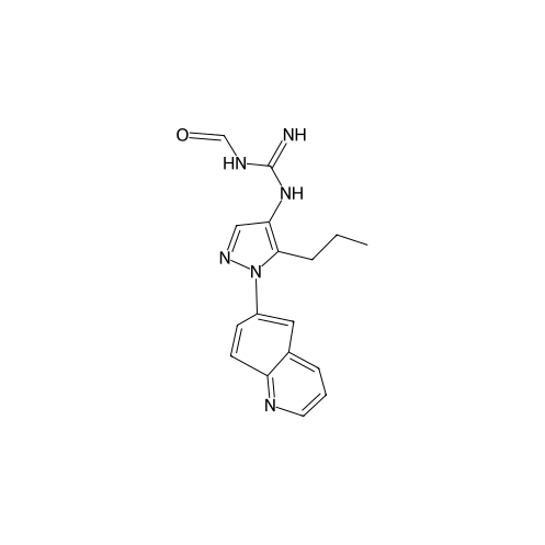 CCCc1c(NC(=N)NC=O)cnn1-c1ccc2ncccc2c1